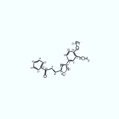 Cc1cc(-c2noc(CCC(=O)c3ccccc3)n2)ccc1OC(C)C